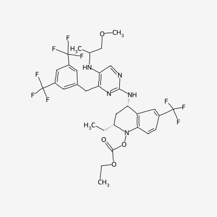 CCOC(=O)ON1c2ccc(C(F)(F)F)cc2[C@@H](Nc2ncc(NC(C)COC)c(Cc3cc(C(F)(F)F)cc(C(F)(F)F)c3)n2)C[C@H]1CC